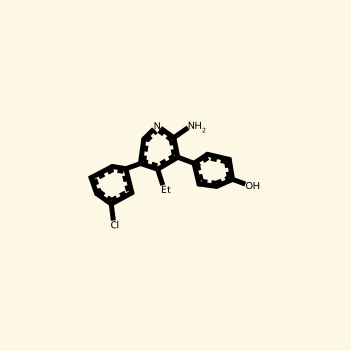 CCc1c(-c2cccc(Cl)c2)cnc(N)c1-c1ccc(O)cc1